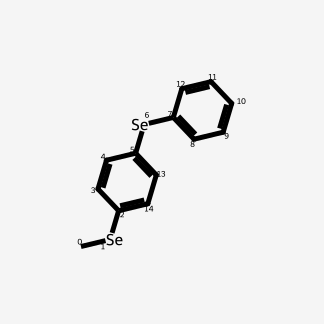 C[Se]c1ccc([Se]c2ccccc2)cc1